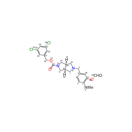 CNc1ccc(CN2C[C@@H]3CN(C(=O)OCc4cc(Cl)cc(Cl)c4)C[C@@H]3C2)cc1OC=O